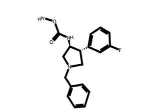 CCCOC(=O)N[C@@H]1CN(Cc2ccccc2)C[C@H]1c1cccc(F)c1